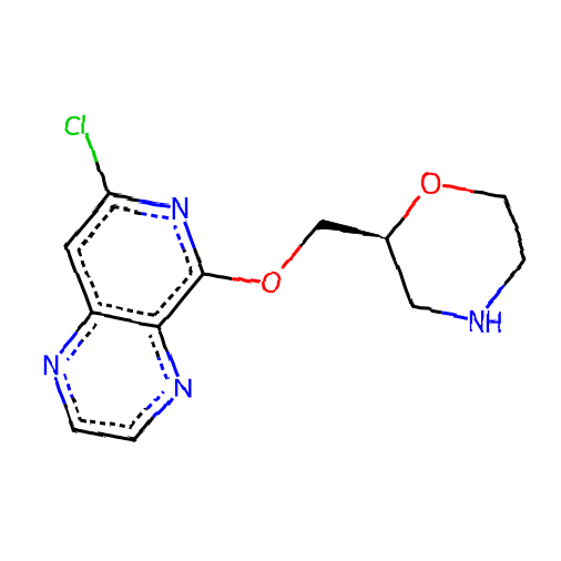 Clc1cc2nccnc2c(OC[C@@H]2CNCCO2)n1